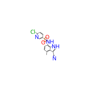 Cc1ccc(NS(=O)(=O)c2ccc(Cl)nc2)c2[nH]cc(C#N)c12